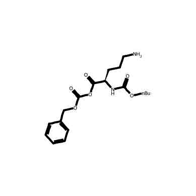 CCCCOC(=O)N[C@H](CCCN)C(=O)OC(=O)OCc1ccccc1